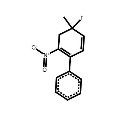 CC1(F)C=CC(c2ccccc2)=C([N+](=O)[O-])C1